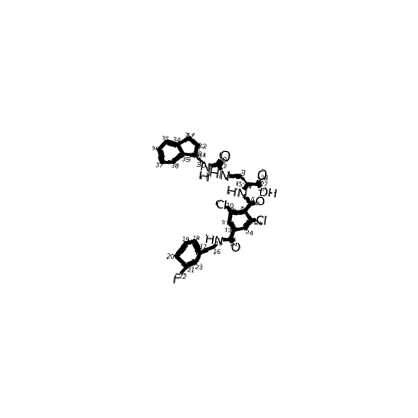 O=C(NC[C@H](NC(=O)c1c(Cl)cc(C(=O)NCc2cccc(F)c2)cc1Cl)C(=O)O)N[C@@H]1CCc2ccccc21